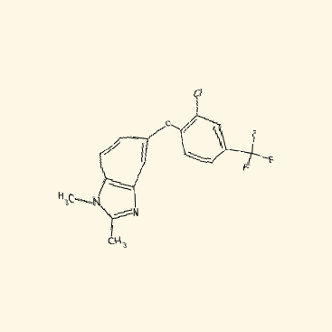 Cc1nc2cc(Oc3ccc(C(F)(F)F)cc3Cl)ccc2n1C